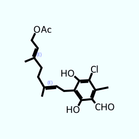 CC(=O)OC/C=C(\C)CC/C(C)=C/Cc1c(O)c(Cl)c(C)c(C=O)c1O